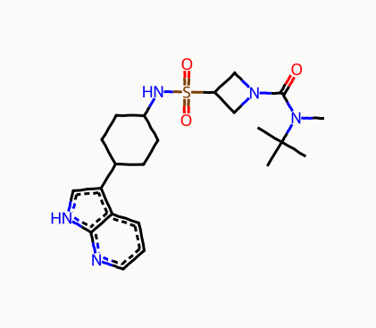 CN(C(=O)N1CC(S(=O)(=O)NC2CCC(c3c[nH]c4ncccc34)CC2)C1)C(C)(C)C